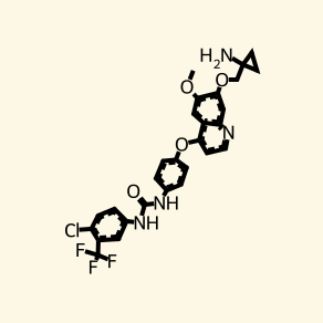 COc1cc2c(Oc3ccc(NC(=O)Nc4ccc(Cl)c(C(F)(F)F)c4)cc3)ccnc2cc1OCC1(N)CC1